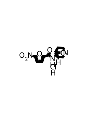 Cl.O=C(N[C@H]1CN2CCC1CC2)c1ccc([N+](=O)[O-])o1